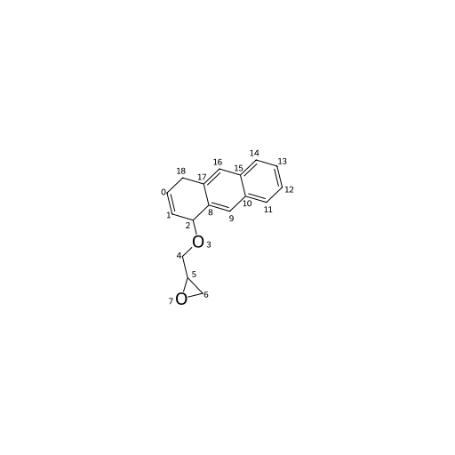 C1=CC(OCC2CO2)c2cc3ccccc3cc2C1